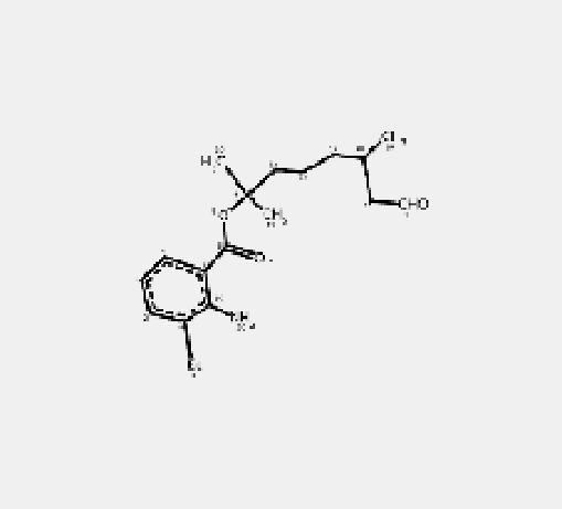 CCc1cccc(C(=O)OC(C)(C)CCCC(C)CC=O)c1N